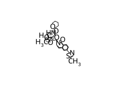 Cc1cnc(-c2ccc3c(=O)n(CC[C@](C)(C(=O)NOC4CCCCO4)S(C)(=O)=O)ccc3c2)s1